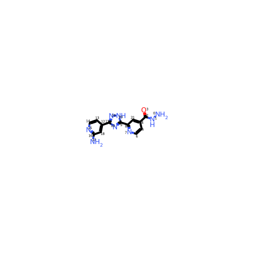 NNC(=O)c1ccnc(-c2nc(-c3ccnc(N)c3)n[nH]2)c1